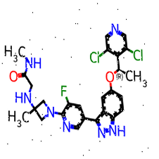 CNC(=O)CNC1(C)CN(c2ncc(-c3n[nH]c4ccc(O[C@H](C)c5c(Cl)cncc5Cl)cc34)cc2F)C1